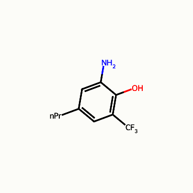 CCCc1cc(N)c(O)c(C(F)(F)F)c1